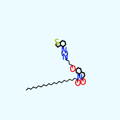 CCCCCCCCCCCCCCCCCCCCC(=O)n1c(=O)ccc2ccc(OCCCCN3CCN(c4cccc5sccc45)CC3)cc21